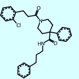 O=C(CCc1ccccc1Cl)N1CCC(C(=O)NCCCc2ccccc2)(c2ccccc2)CC1